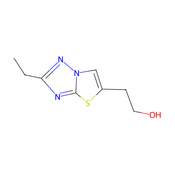 CCc1nc2sc(CCO)cn2n1